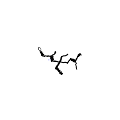 CCC(/C=C(\C)C=O)(CC)CC=C(C)C